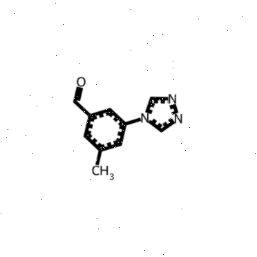 Cc1cc(C=O)cc(-n2cnnc2)c1